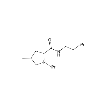 CC(C)CCNC(=O)C1CC(C)CN1C(C)C